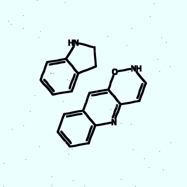 C1=Cc2nc3ccccc3cc2ON1.c1ccc2c(c1)CCN2